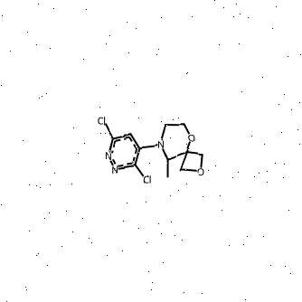 CC1N(c2cc(Cl)nnc2Cl)CCOC12COC2